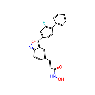 O=C(/C=C/c1ccc2noc(-c3ccc(-c4ccccc4)c(F)c3)c2c1)NO